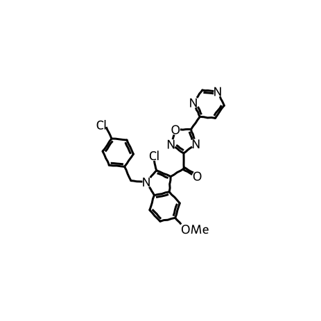 COc1ccc2c(c1)c(C(=O)c1noc(-c3ccncn3)n1)c(Cl)n2Cc1ccc(Cl)cc1